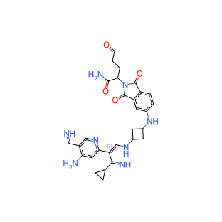 N=Cc1cnc(/C(=C/NC2CC(Nc3ccc4c(c3)C(=O)N(C(CCC=O)C(N)=O)C4=O)C2)C(=N)C2CC2)cc1N